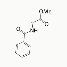 COC(=O)[CH]NC(=O)c1ccccc1